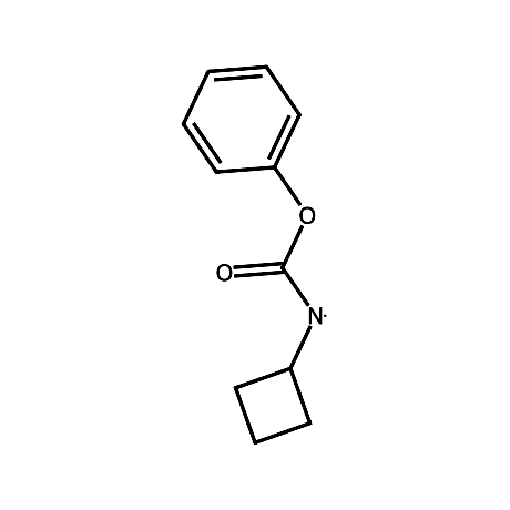 O=C([N]C1CCC1)Oc1ccccc1